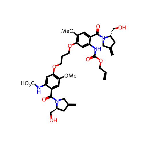 C=CCOC(=O)Nc1cc(OCCCOc2cc(NC(=O)O)c(C(=O)N3CC(=C)C[C@H]3CO)cc2OC)c(OC)cc1C(=O)N1CC(=C)C[C@H]1CO